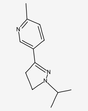 Cc1ccc(C2=NN(C(C)C)CC2)cn1